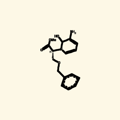 COC(=O)[C@@H](COCc1ccccc1)N1C=CC=C(N)C1O